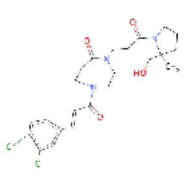 CC1(CO)CCCN1C(=O)CCN1CCN(C(=O)/C=C/c2ccc(Cl)c(Cl)c2)CCC1=O